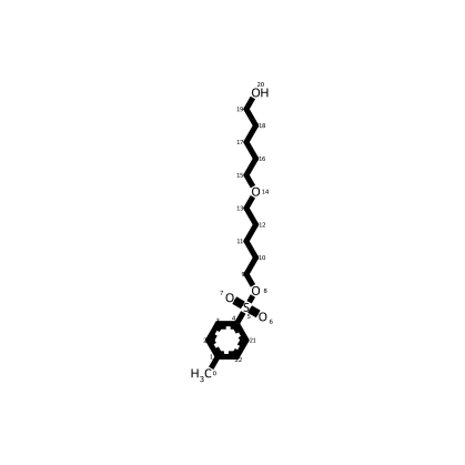 Cc1ccc(S(=O)(=O)OCCCCCOCCCCCO)cc1